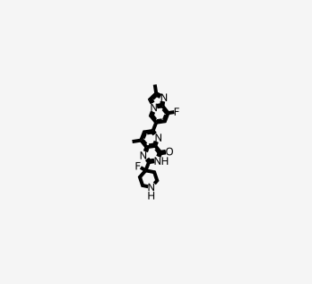 Cc1cn2cc(-c3cc(C)c4nc(C5(F)CCNCC5)[nH]c(=O)c4n3)cc(F)c2n1